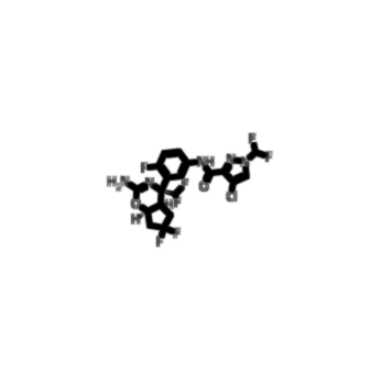 NC1=N[C@@](c2cc(NC(=O)c3nn(C(F)F)cc3Cl)ccc2F)(C(F)F)[C@H]2CC(F)(F)C[C@H]2O1